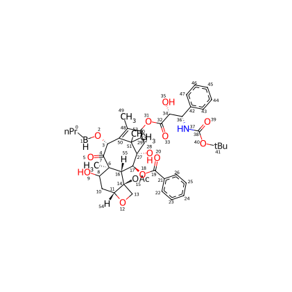 CCCBO[C@H]1C(=O)[C@]2(C)C(O)C[C@H]3OC[C@@]3(OC(C)=O)[C@H]2[C@H](OC(=O)c2ccccc2)[C@]2(O)CC(OC(=O)[C@H](O)[C@@H](NC(=O)OC(C)(C)C)c3ccccc3)C(C)=C1C2(C)C